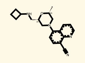 C[C@@H]1CN(c2ccc(C#N)c3ncccc23)C[C@H](CNC2CCC2)O1